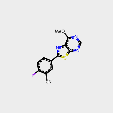 COc1ncnc2sc(-c3ccc(I)c(C#N)c3)nc12